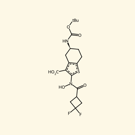 CC(C)(C)OC(=O)N[C@H]1CCc2sc(N(O)C(=O)C3CC(F)(F)C3)c(C(=O)O)c2C1